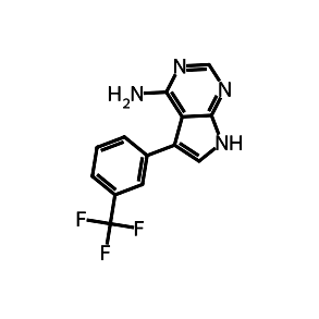 Nc1ncnc2[nH]cc(-c3cccc(C(F)(F)F)c3)c12